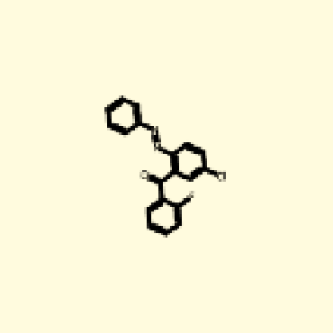 O=C(c1ccccc1F)c1cc(Cl)ccc1N=Nc1ccccc1